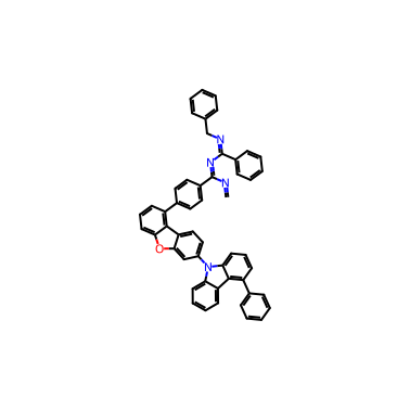 C=N/C(=N\C(=N/Cc1ccccc1)c1ccccc1)c1ccc(-c2cccc3oc4cc(-n5c6ccccc6c6c(-c7ccccc7)cccc65)ccc4c23)cc1